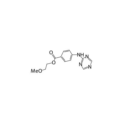 COCCOC(=O)c1ccc(Nc2ncncn2)cc1